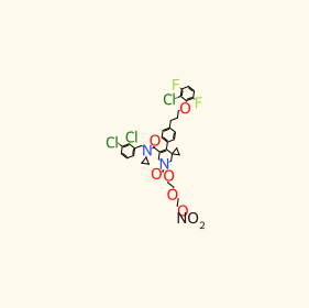 O=C(OCCOCCO[N+](=O)[O-])N1CC(C(=O)N(Cc2cccc(Cl)c2Cl)C2CC2)=C(c2ccc(CCCOc3c(F)ccc(F)c3Cl)cc2)C2(CC2)C1